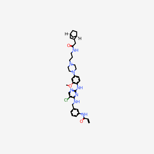 C=CC(=O)Nc1cccc(CNc2nc(Nc3ccc(N4CCN(CCCNC(=O)CC5C[C@H]6CC[C@@H]5C6)CC4)cc3OC)ncc2Cl)c1